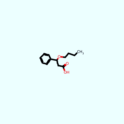 CCCCOC(CC(=O)O)c1ccccc1